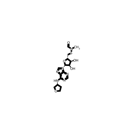 CN(C=O)SC[C@H]1O[C@@H](n2cnc3c(N[C@@H]4CCOC4)ncnc32)[C@H](O)[C@@H]1O